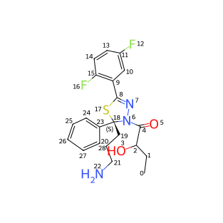 CCC(O)C(=O)N1N=C(c2cc(F)ccc2F)S[C@@]1(CCCN)c1ccccc1